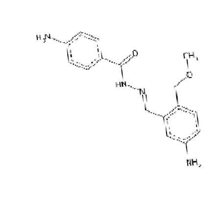 COCc1ccc(N)cc1/C=N/NC(=O)c1ccc(N)cc1